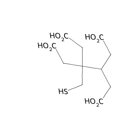 O=C(O)CC(CC(=O)O)C(CS)(CC(=O)O)CC(=O)O